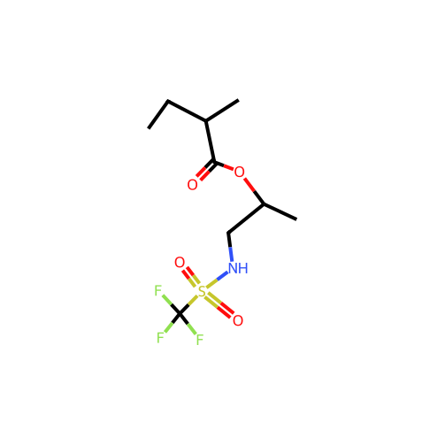 CCC(C)C(=O)OC(C)CNS(=O)(=O)C(F)(F)F